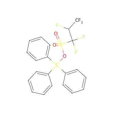 O=S(=O)(OS(c1ccccc1)(c1ccccc1)c1ccccc1)C(F)(F)C(F)C(F)(F)F